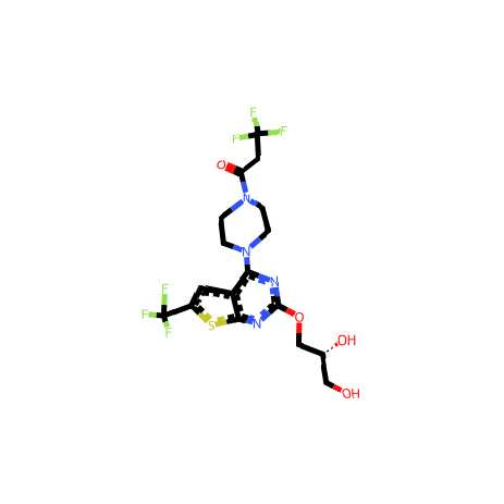 O=C(CC(F)(F)F)N1CCN(c2nc(OC[C@H](O)CO)nc3sc(C(F)(F)F)cc23)CC1